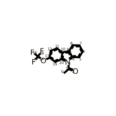 CC(=O)n1c2ccccc2c2ccc(OC(F)(F)F)cc21